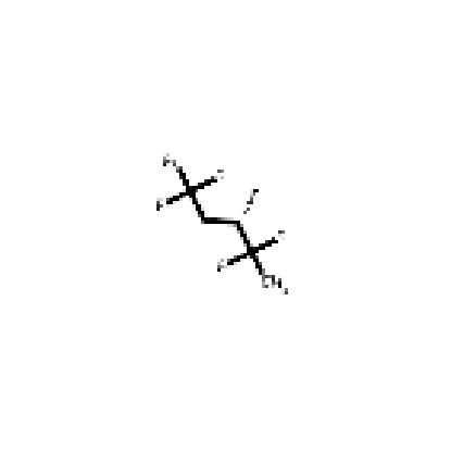 [CH2]CC(F)(F)C[C@H](F)C(C)(F)F